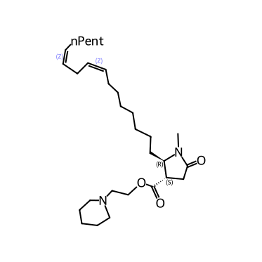 CCCCC/C=C\C/C=C\CCCCCCC[C@@H]1[C@@H](C(=O)OCCN2CCCCC2)CC(=O)N1C